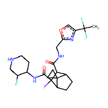 CC(F)(F)c1coc(CNC(=O)C2C3CCC(C34CC4)C2(I)C(=O)NC2CCNCC2F)n1